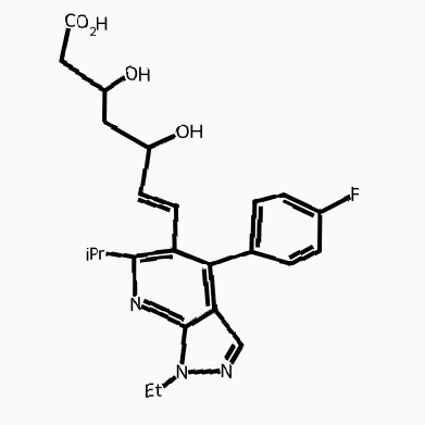 CCn1ncc2c(-c3ccc(F)cc3)c(/C=C/C(O)CC(O)CC(=O)O)c(C(C)C)nc21